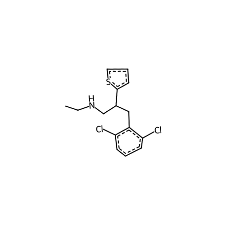 CCNCC(Cc1c(Cl)cccc1Cl)c1cccs1